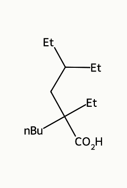 CCCCC(CC)(CC(CC)CC)C(=O)O